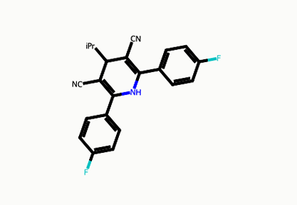 CC(C)C1C(C#N)=C(c2ccc(F)cc2)NC(c2ccc(F)cc2)=C1C#N